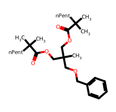 CCCCCC(C)(C)C(=O)OCC(C)(COCc1ccccc1)COC(=O)C(C)(C)CCCCC